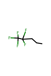 CCCC(F)(F)C(F)(F)F